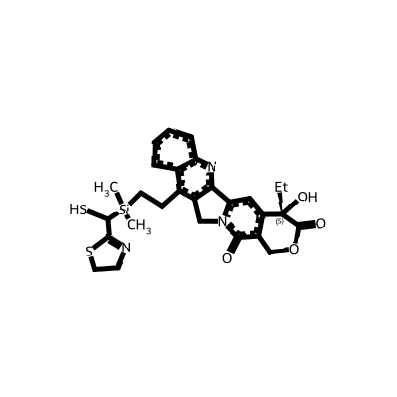 CC[C@@]1(O)C(=O)OCc2c1cc1n(c2=O)Cc2c-1nc1ccccc1c2CC[Si](C)(C)C(S)C1=NCCS1